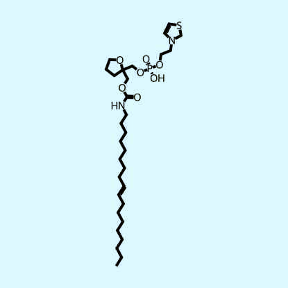 CCCCCCCCC=CCCCCCCCCNC(=O)OCC1(COP(=O)(O)OCCN2C=CSC2)CCCO1